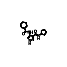 O=C(NC1CCCC1)c1n[nH]cc1NC(=O)C1CCCCC1